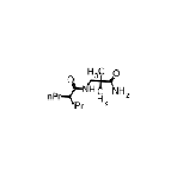 CCCC(C(=O)NCC(C)(C)C(N)=O)C(C)C